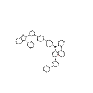 c1ccc(-c2cccc(-c3ccc(N(c4ccc(-c5ccc(-c6cccc(-c7oc8ccccc8c7-c7ccccc7)c6)cc5)cc4)c4ccccc4-c4ccccc4)cc3)c2)cc1